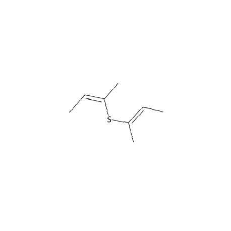 CC=C(C)SC(C)=CC